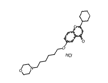 Cl.O=c1cc(C2CCCCC2)oc2ccc(OCCCCCCN3CCOCC3)cc12